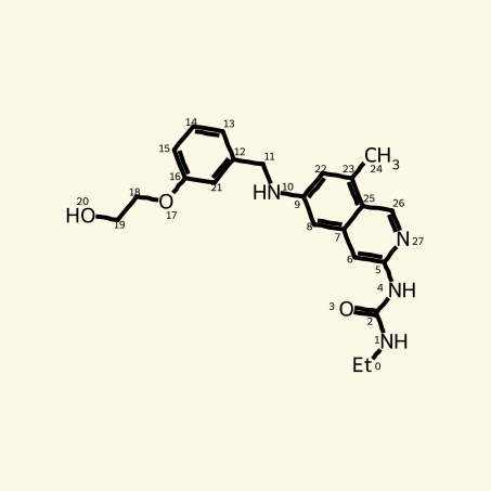 CCNC(=O)Nc1cc2cc(NCc3cccc(OCCO)c3)cc(C)c2cn1